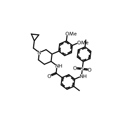 COc1ccc(C2CN(CC3CC3)CCC2NC(=O)c2ccc(C)c(NS(=O)(=O)c3ccc(C)cc3)c2)cc1OC